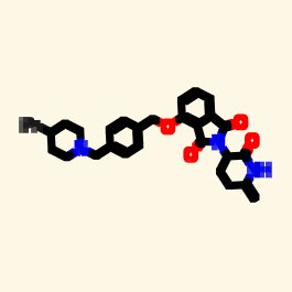 C=C1CCC(N2C(=O)c3cccc(OCc4ccc(CN5CCC(C(C)C)CC5)cc4)c3C2=O)C(=O)N1